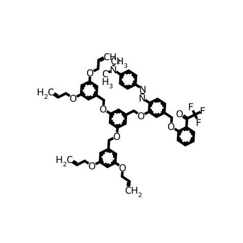 C=CCOc1cc(COc2cc(COc3cc(COc4ccccc4C(=O)C(F)(F)F)ccc3N=Nc3ccc(N(C)C)cc3)cc(OCc3cc(OCC=C)cc(OCC=C)c3)c2)cc(OCC=C)c1